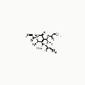 C=CC(=O)OC(C)C(C(=O)O)=C(C(C)OC(=O)C=C)C(C)OC(=O)C=C